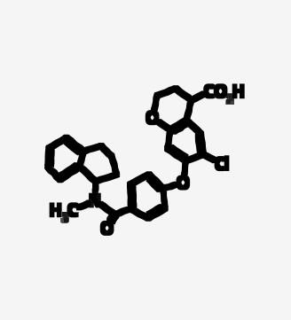 CN(C(=O)c1ccc(Oc2cc3c(cc2Cl)C(C(=O)O)CCO3)cc1)C1CCCc2ccccc21